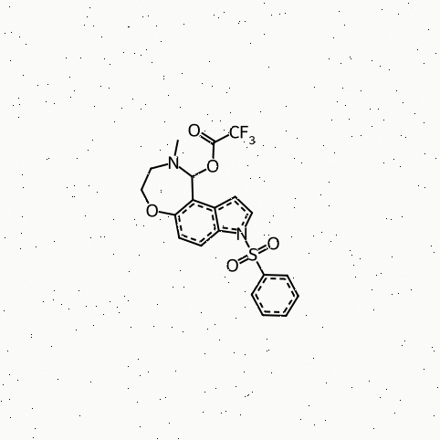 CN1CCOc2ccc3c(ccn3S(=O)(=O)c3ccccc3)c2C1OC(=O)C(F)(F)F